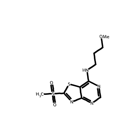 COCCCNc1ncnc2nc(S(C)(=O)=O)sc12